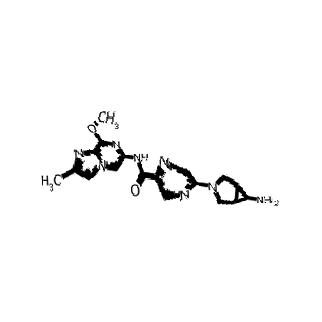 COc1nc(NC(=O)c2cnc(N3CC4C(N)C4C3)cn2)cn2cc(C)nc12